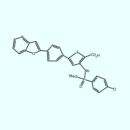 COP(=O)(Nc1cc(-c2ccc(-c3cc4ncccc4o3)cc2)sc1C(=O)O)c1ccc(Cl)cc1